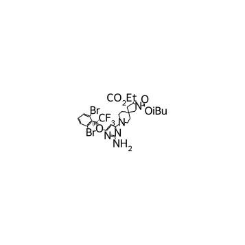 CCOC(=O)C1CC2(CCN(c3cc(O[C@H](c4c(Br)cccc4Br)C(F)(F)F)nc(N)n3)CC2)CN1C(=O)OCC(C)C